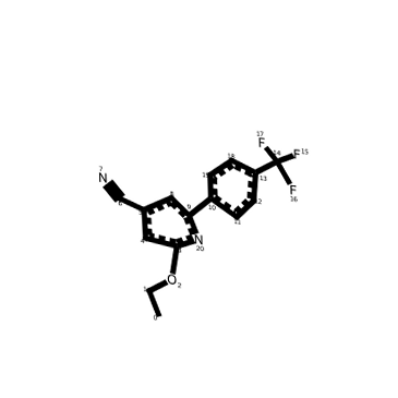 CCOc1cc(C#N)cc(-c2ccc(C(F)(F)F)cc2)n1